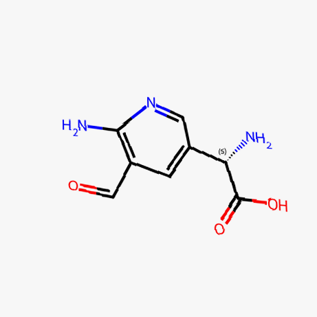 Nc1ncc([C@H](N)C(=O)O)cc1C=O